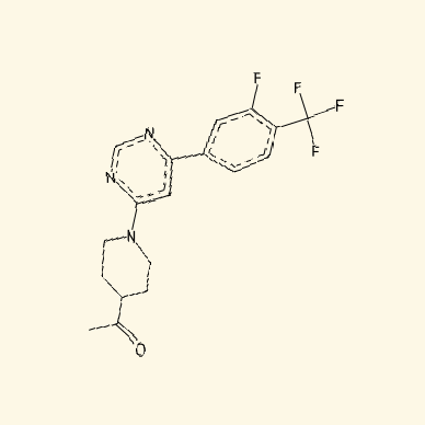 CC(=O)C1CCN(c2cc(-c3ccc(C(F)(F)F)c(F)c3)ncn2)CC1